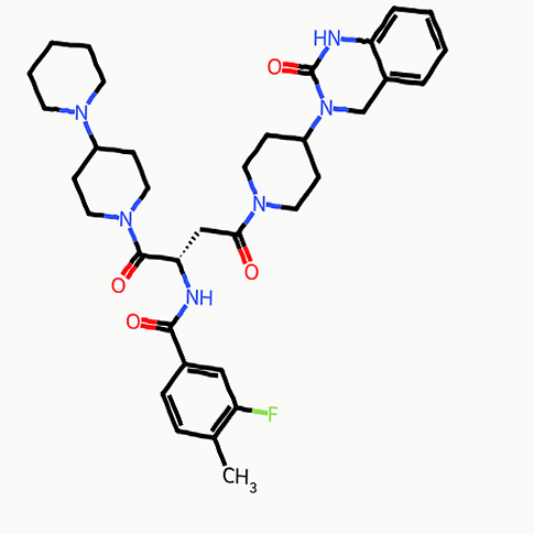 Cc1ccc(C(=O)N[C@@H](CC(=O)N2CCC(N3Cc4ccccc4NC3=O)CC2)C(=O)N2CCC(N3CCCCC3)CC2)cc1F